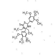 CCN1C(=S)SC(c2cc(OC)c(OC)c(OC)c2)NC1(CC)c1cc(OC)c(OC)c(OC)c1